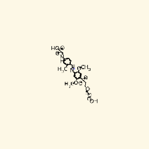 COc1cc(S(=O)(=O)CCOSOOO)c(OC)cc1/N=N/c1ccc(NCS(=O)(=O)O)cc1C